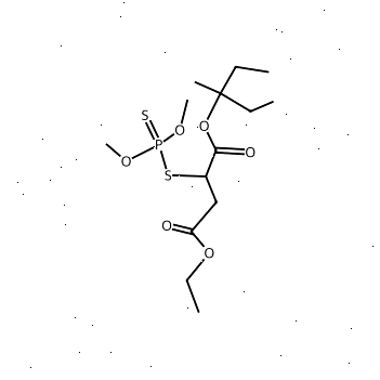 CCOC(=O)CC(SP(=S)(OC)OC)C(=O)OC(C)(CC)CC